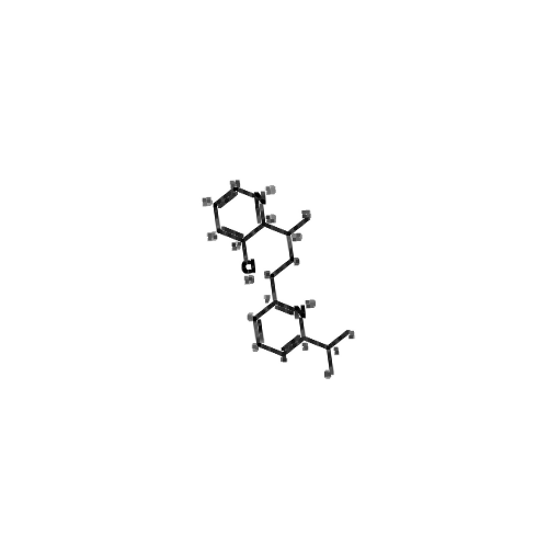 CC(C)c1cccc(CCC(C)c2ncccc2Cl)n1